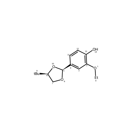 CCOc1cc([C@H]2OC[C@@H](C(C)(C)C)O2)ccc1O